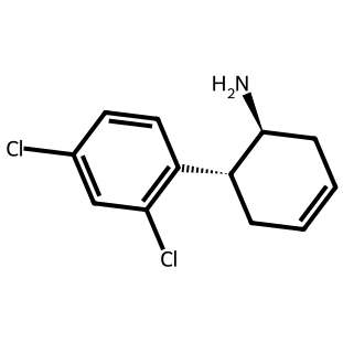 N[C@H]1CC=CC[C@@H]1c1ccc(Cl)cc1Cl